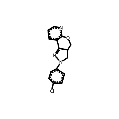 Clc1ccc(N2CC3COc4ncccc4C3=N2)cc1